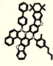 CCCCc1ccc(N2c3cc4oc5cc6c(cc5c4cc3B3c4c2cc2c(oc5ccccc52)c4-c2c(ccc4ccccc24)N3c2ccc(-c3ccccc3)cc2)C(C)(C)CCC6(C)C)c(C)c1